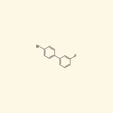 Fc1cccc(-c2c[c]c(Br)cc2)c1